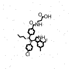 CCCC[C@H](c1ccc(C(=O)NCCC(=O)O)cc1)[C@H](c1ccc(Cl)cc1)c1c[nH]c2c(F)cc(C)cc12